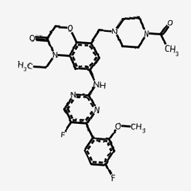 CCN1C(=O)COc2c(CN3CCN(C(C)=O)CC3)cc(Nc3ncc(F)c(-c4ccc(F)cc4OC)n3)cc21